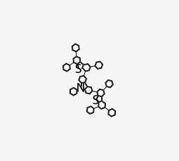 c1ccc(-c2cc(-c3ccccc3)c3sc4c(-c5ccc6c(c5)c5cc(-c7cc(-c8ccccc8)cc8c7sc7c(-c9ccccc9)cc(-c9ccccc9)cc78)ccc5n6-c5ccccc5)cc(-c5ccccc5)cc4c3c2)cc1